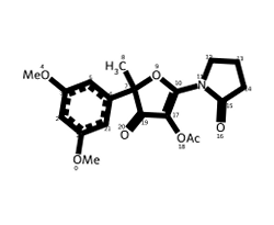 COc1cc(OC)cc(C2(C)OC(N3CCCC3=O)=C(OC(C)=O)C2=O)c1